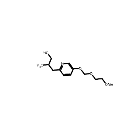 COCCOCOc1ccc(CC(C)CO)nc1